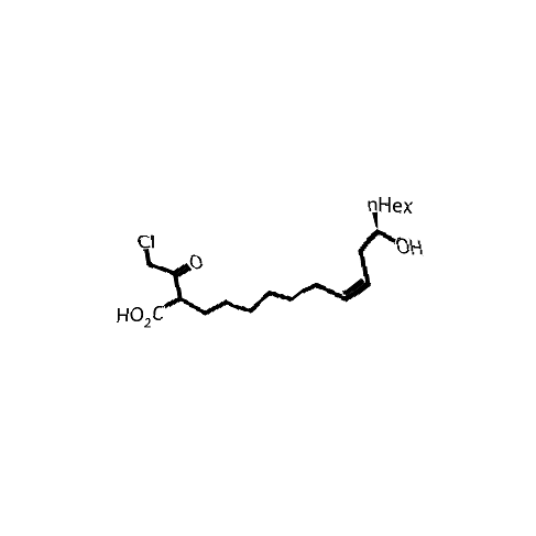 CCCCCC[C@@H](O)C/C=C\CCCCCCC(C(=O)O)C(=O)CCl